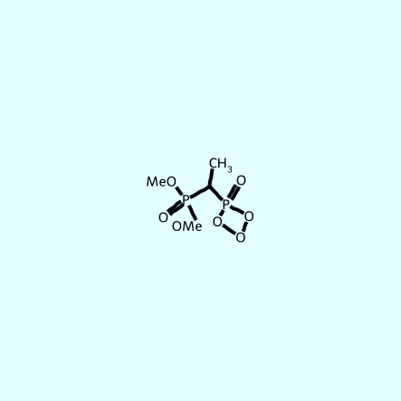 COP(=O)(OC)C(C)P1(=O)OOO1